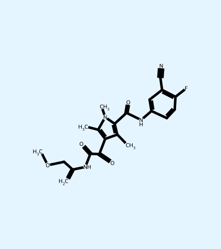 C=C(COC)NC(=O)C(=O)c1c(C)c(C(=O)Nc2ccc(F)c(C#N)c2)n(C)c1C